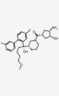 COCCCC[C@@](O)(c1cc(F)ccc1-c1cccc(C)c1)[C@@H]1CCCN(C(=O)[C@H]2C[C@@H](N)[C@@H](O)C2)C1